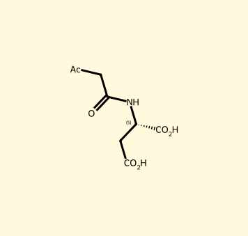 CC(=O)CC(=O)N[C@@H](CC(=O)O)C(=O)O